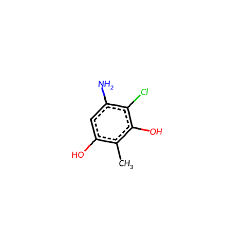 Cc1c(O)cc(N)c(Cl)c1O